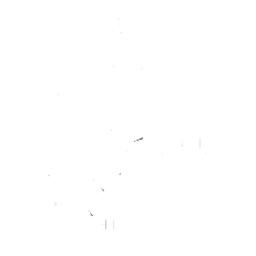 C=CC[C@H]1C[C@@]2(C)C(CC[C@@H]2O)C2CCC3=C(CCC(=O)C3)C21